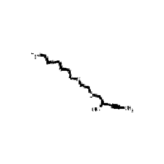 CC#CC(O)COCCOCCCCCCC